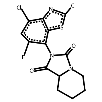 O=C1C2CCCCN2C(=O)N1c1c(F)cc(Cl)c2nc(Cl)sc12